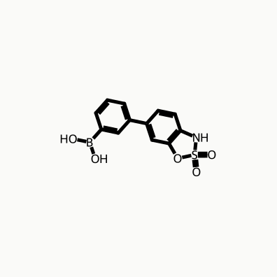 O=S1(=O)Nc2ccc(-c3cccc(B(O)O)c3)cc2O1